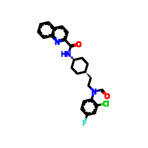 O=CN(CC[C@H]1CC[C@@H](NC(=O)c2ccc3ccccc3n2)CC1)c1ccc(F)cc1Cl